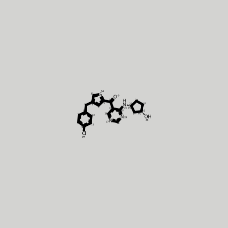 O=C(c1cc(Cc2ccc(Cl)cc2)cs1)c1cncnc1N[C@@H]1C[CH][C@H](O)C1